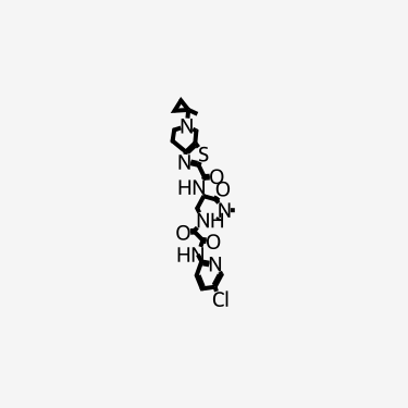 CN(C)C(=O)C(CNC(=O)C(=O)Nc1ccc(Cl)cn1)NC(=O)c1nc2c(s1)CN(C1(C)CC1)CC2